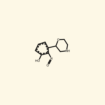 O=Nc1c(O)cccc1C1CNCCO1